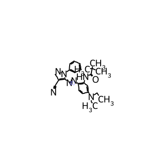 CCN(CC)c1ccc(/N=N/c2c(C#N)cnn2-c2ccccc2)c(NC(=O)C(C)(C)C)c1